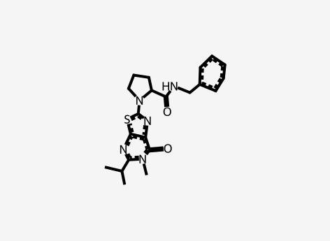 CC(C)c1nc2sc(N3CCCC3C(=O)NCc3ccccc3)nc2c(=O)n1C